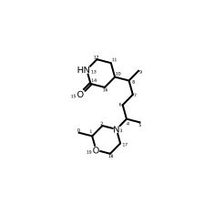 CC1CN(C(C)CCC(C)C2CCNC(=O)C2)CCO1